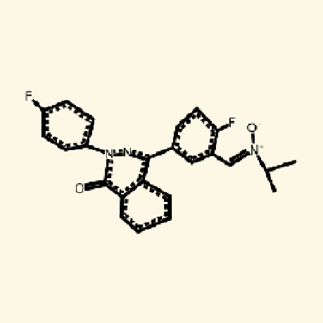 CC(C)/[N+]([O-])=C/c1cc(-c2nn(-c3ccc(F)cc3)c(=O)c3ccccc23)ccc1F